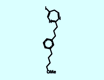 COCCCCc1cccc(CCCC2=NC=C(I)CC=N2)c1